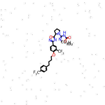 CC(C)(C)OC(=O)NC(=NC(=O)O)N1CCCC1c1nc(-c2ccc(OCCCCc3ccc(C(F)(F)F)cc3)c(C(F)(F)F)c2)no1